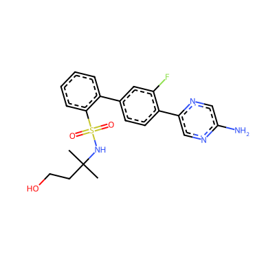 CC(C)(CCO)NS(=O)(=O)c1ccccc1-c1ccc(-c2cnc(N)cn2)c(F)c1